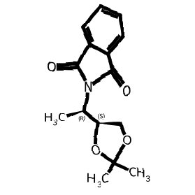 C[C@H]([C@H]1COC(C)(C)O1)N1C(=O)c2ccccc2C1=O